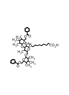 CC(=O)OC1C(OCCCCCCCCC(=O)O)OC(COC2OC(COC(=O)c3ccccc3)C(C)C(C)C2C)C(C)C1OC1OC(COC(=O)c2ccccc2)C(C)C(C)C1C